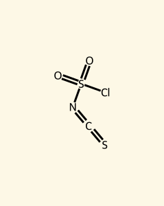 O=S(=O)(Cl)N=C=S